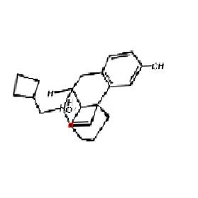 Oc1ccc2c(c1)[C@]13C=CN(CC4CCC4)[C@H](C2)[C@]1(O)CCCC3